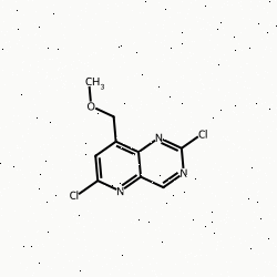 COCc1cc(Cl)nc2cnc(Cl)nc12